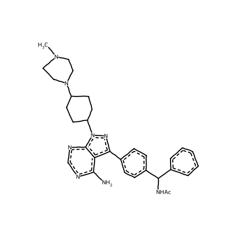 CC(=O)NC(c1ccccc1)c1ccc(-c2nn(C3CCC(N4CCN(C)CC4)CC3)c3ncnc(N)c23)cc1